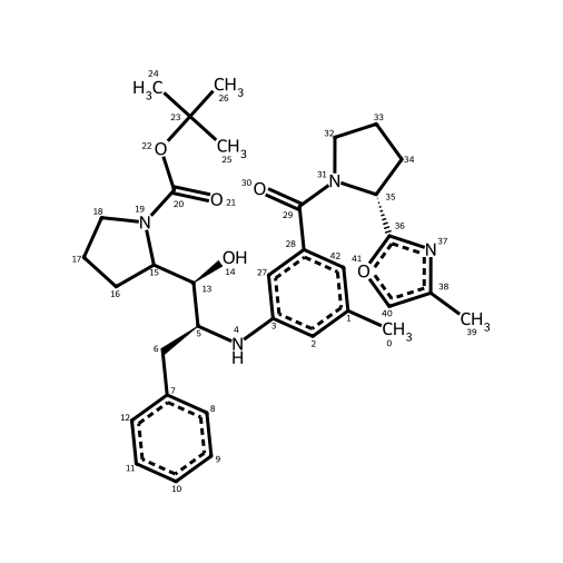 Cc1cc(N[C@@H](Cc2ccccc2)[C@H](O)C2CCCN2C(=O)OC(C)(C)C)cc(C(=O)N2CCC[C@@H]2c2nc(C)co2)c1